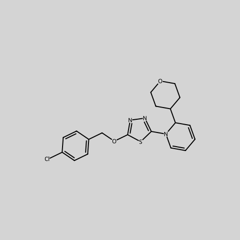 Clc1ccc(COc2nnc(N3C=CC=CC3C3CCOCC3)s2)cc1